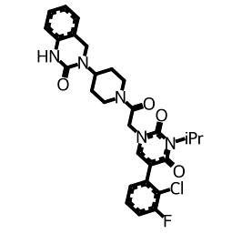 CC(C)n1c(=O)c(-c2cccc(F)c2Cl)cn(CC(=O)N2CCC(N3Cc4ccccc4NC3=O)CC2)c1=O